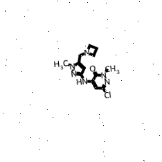 Cn1nc(Nc2cc(Cl)nn(C)c2=O)cc1CN1CCC1